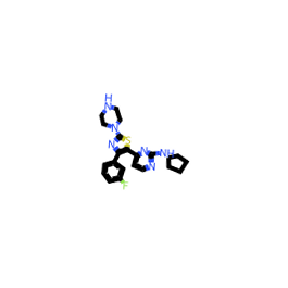 Fc1cccc(-c2nc(N3CCNCC3)sc2-c2ccnc(NC3CCCC3)n2)c1